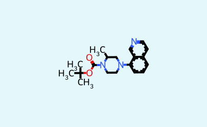 CC1CN(c2cccc3ccncc23)CCN1C(=O)OC(C)(C)C